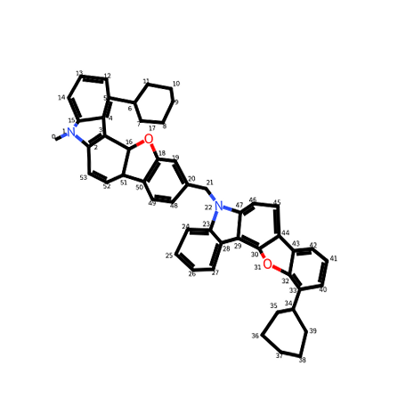 Cn1c2c(c3c(C4CCCCC4)cccc31)C1Oc3cc(Cn4c5ccccc5c5c6oc7c(C8CCCCC8)cccc7c6ccc54)ccc3C1C=C2